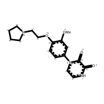 COc1cc(-n2cc[nH]c(=O)c2=O)ccc1OCCN1CCCC1